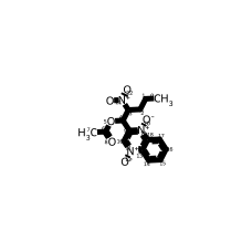 CCCC(C(OC(C)=O)c1c[n+]([O-])c2ccccc2[n+]1[O-])[N+](=O)[O-]